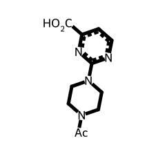 CC(=O)N1CCN(c2nccc(C(=O)O)n2)CC1